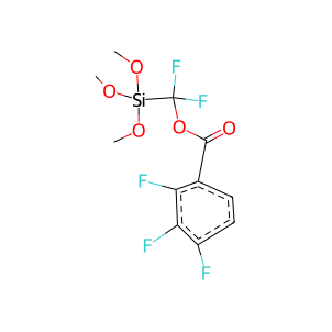 CO[Si](OC)(OC)C(F)(F)OC(=O)c1ccc(F)c(F)c1F